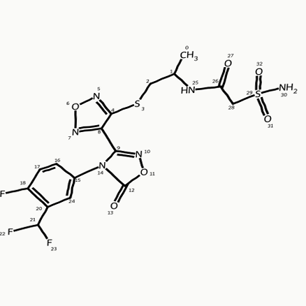 CC(CSc1nonc1-c1noc(=O)n1-c1ccc(F)c(C(F)F)c1)NC(=O)CS(N)(=O)=O